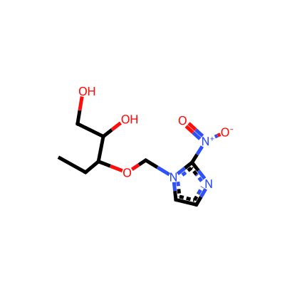 CCC(OCn1ccnc1[N+](=O)[O-])C(O)CO